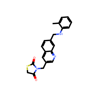 Cc1ccccc1NCc1ccc2cc(CN3C(=O)CSC3=O)cnc2c1